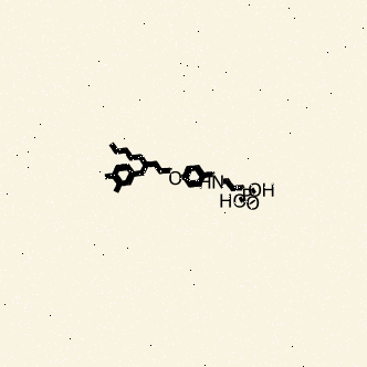 CCCCCC(CCCOc1ccc(CNCCCP(=O)(O)O)cc1)Cc1ccc(C)c(C)c1